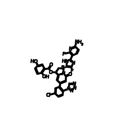 Nc1ccc(-c2nc(F)c([C@H]3CC(OC(=O)c4cc(O)ccc4O)c4cc(-c5cc(Cl)ccc5-n5cnnn5)cc(=O)n43)[nH]2)c(F)n1